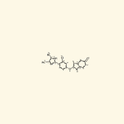 N#Cc1nc(-c2ccc(Oc3nc4ccc(Cl)cc4s3)cc2Cl)[nH]c1C#N